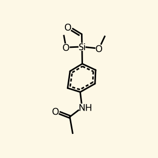 CO[Si](C=O)(OC)c1ccc(NC(C)=O)cc1